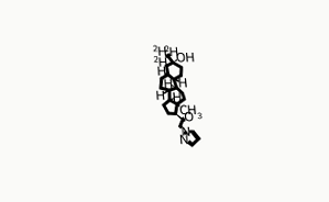 [2H]C([2H])([2H])[C@@]1(O)CC[C@H]2[C@H](CC[C@@H]3[C@@H]2CC[C@]2(C)[C@@H](C(=O)Cn4cccn4)CC[C@@H]32)C1